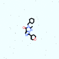 Cc1nn2c(C3=CCOCC3)ncc2c(=O)n1CC1CCCCC1